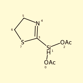 CC(=O)O[SiH](OC(C)=O)C1=NCCS1